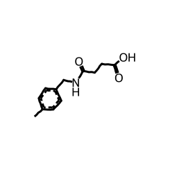 Cc1ccc(CNC(=O)CCC(=O)O)cc1